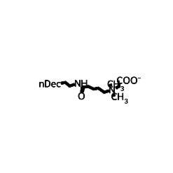 CCCCCCCCCCCCNC(=O)CCCC[N+](C)(C)CC(=O)[O-]